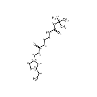 CC(C)(C)OC(=O)NCCCC(=O)OC[C@H]1CC[C@H](CO)O1